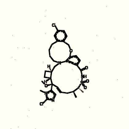 CO[C@]1(c2cnc(Cl)n2C)/C=C/C[C@H](C)[C@@H](C)S(=O)(=O)NC(=O)c2ccc3c(c2)N(CCCCc2cc(Cl)ccc2CO3)C[C@@H]2CC[C@H]21